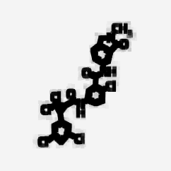 CN1Cc2ccc(NC(=O)c3cc(NC(=O)C4C(c5cc(Cl)cc(Cl)c5)C4(Cl)Cl)ccc3Cl)cc2C1=O